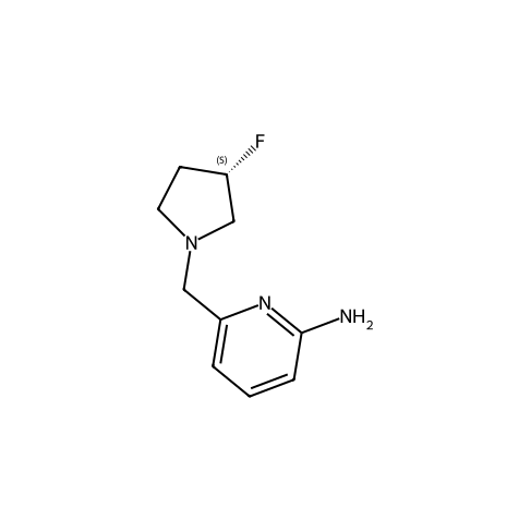 Nc1cccc(CN2CC[C@H](F)C2)n1